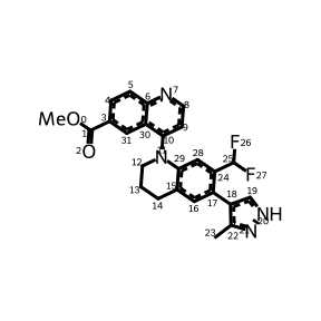 COC(=O)c1ccc2nccc(N3CCCc4cc(-c5c[nH]nc5C)c(C(F)F)cc43)c2c1